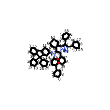 c1ccc(-c2ccc(N(c3ccc4c(c3)C(c3ccccc3)(c3ccccc3)c3ccccc3-4)c3c(-c4ccccc4)n4nc(-c5ccccc5)c(-c5ccccc5)c4c4ccccc34)cc2)cc1